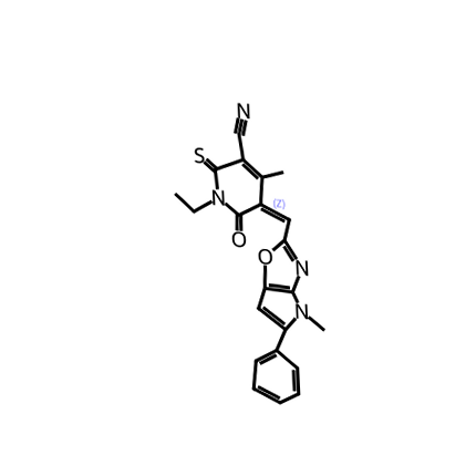 CCN1C(=O)/C(=C\c2nc3c(cc(-c4ccccc4)n3C)o2)C(C)=C(C#N)C1=S